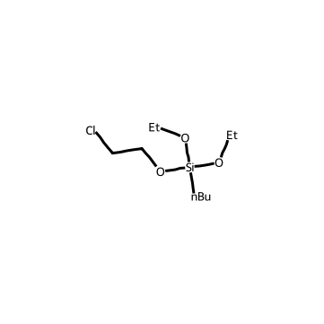 CCCC[Si](OCC)(OCC)OCCCl